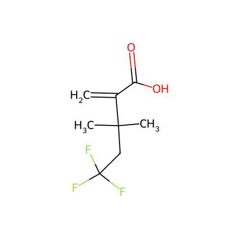 C=C(C(=O)O)C(C)(C)CC(F)(F)F